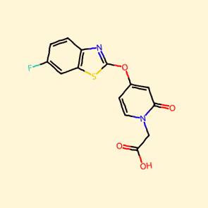 O=C(O)Cn1ccc(Oc2nc3ccc(F)cc3s2)cc1=O